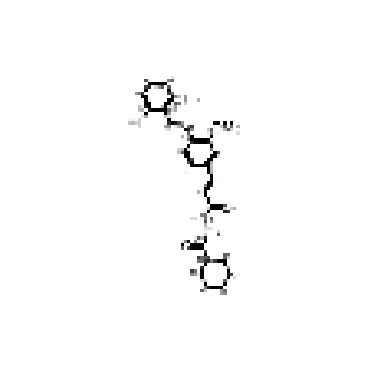 COc1cc(C=CC(=O)NOC(=O)C2CCCCC2)ccc1OCc1c(F)cccc1F